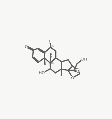 CC12CC(O)[C@@]3(F)C(C[C@H](F)C4=CC(=O)C=CC43C)C1CC1OCOC12C(=O)CO